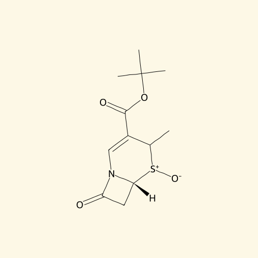 CC1C(C(=O)OC(C)(C)C)=CN2C(=O)C[C@H]2[S+]1[O-]